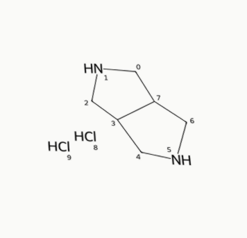 C1NCC2CNCC12.Cl.Cl